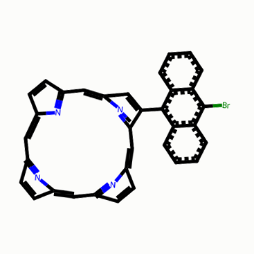 Brc1c2ccccc2c(C2=CC3=CC4=NC(=CC5=NC(=CC6=NC(=CC2=N3)C=C6)C=C5)C=C4)c2ccccc12